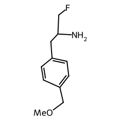 COCc1ccc(CC(N)CF)cc1